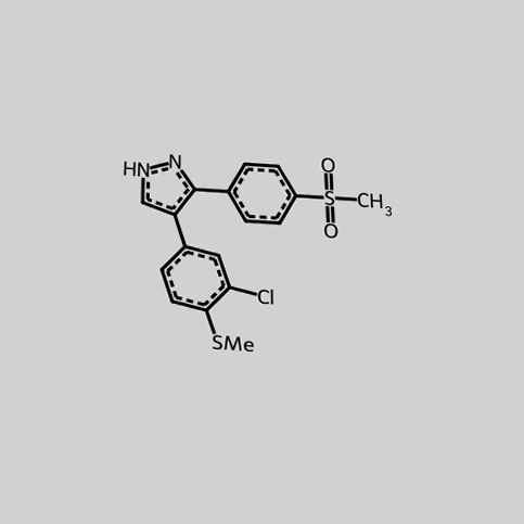 CSc1ccc(-c2c[nH]nc2-c2ccc(S(C)(=O)=O)cc2)cc1Cl